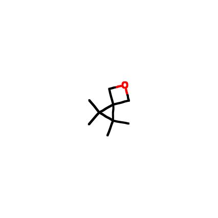 CC1(C)C(C)(C)C12COC2